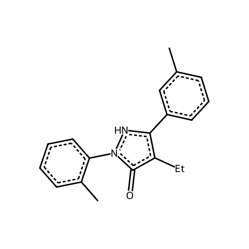 CCc1c(-c2cccc(C)c2)[nH]n(-c2ccccc2C)c1=O